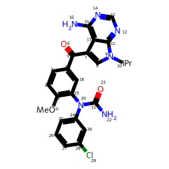 COc1ccc(C(=O)c2cn(C(C)C)c3ncnc(N)c23)cc1N(C(N)=O)c1cccc(Cl)c1